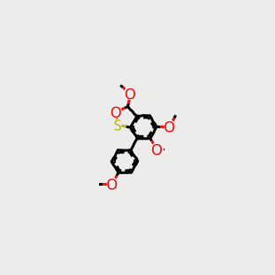 COc1ccc(-c2c([O])c(OC)cc3c2SOC3OC)cc1